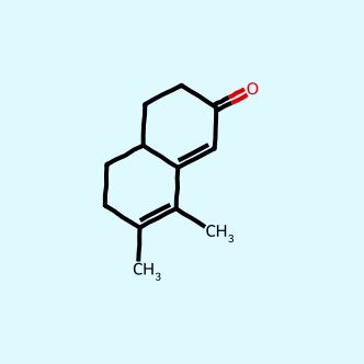 CC1=C(C)C2=CC(=O)CCC2CC1